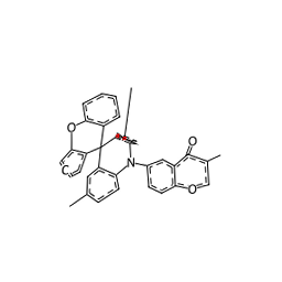 Cc1ccc2c(c1)C1(c3ccccc3Oc3ccccc31)c1cc(C)ccc1N2c1ccc2occ(C)c(=O)c2c1